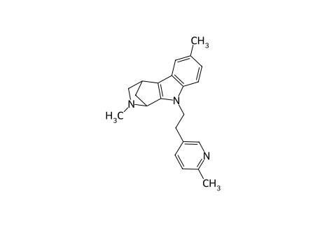 Cc1ccc2c(c1)c1c(n2CCc2ccc(C)nc2)C2CC1CN2C